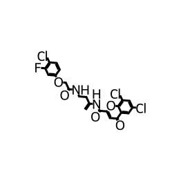 C=C(CCNC(=O)COc1ccc(Cl)c(F)c1)NC(=O)c1cc(=O)c2cc(Cl)cc(Cl)c2o1